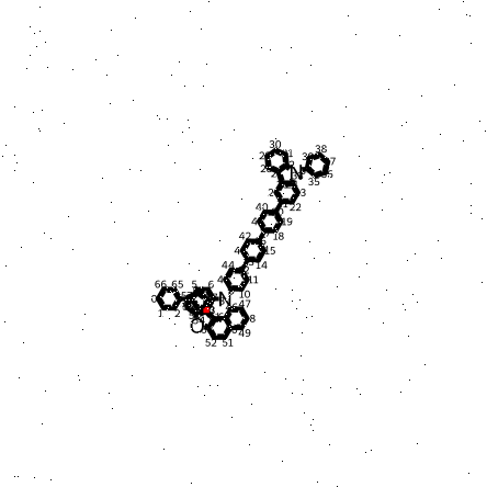 c1ccc(-c2ccc(N(c3ccc(-c4ccc(-c5ccc(-c6ccc7c(c6)c6ccccc6n7-c6ccccc6)cc5)cc4)cc3)c3cccc4ccc5oc6ccccc6c5c34)cc2)cc1